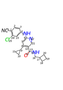 N#Cc1ccc(Nc2cc(C3CC3)c(C(=O)NCC3CCC3)cn2)cc1Cl